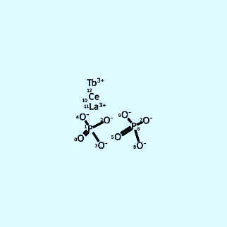 O=P([O-])([O-])[O-].O=P([O-])([O-])[O-].[Ce].[La+3].[Tb+3]